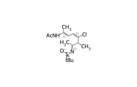 CC(=O)N/C(C)=C/C=C(/Cl)C(C)/C(C)=N/[S@+]([O-])C(C)(C)C